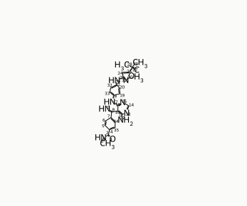 CNC(=O)c1ccc(C(=N)c2c(N)ncnc2Nc2ccc(Nc3cc(C(C)(C)C)on3)cc2)cc1